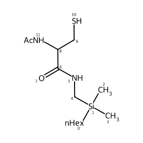 CCCCCC[Si](C)(C)CNC(=O)C(CS)NC(C)=O